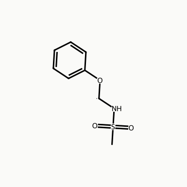 CS(=O)(=O)N[CH]Oc1ccccc1